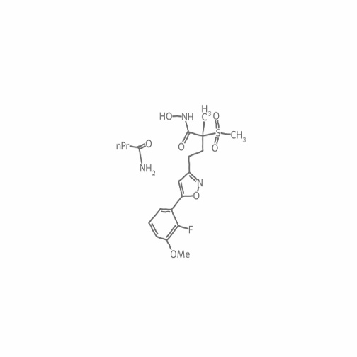 CCCC(N)=O.COc1cccc(-c2cc(CC[C@](C)(C(=O)NO)S(C)(=O)=O)no2)c1F